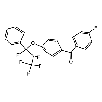 O=C(c1ccc(F)cc1)c1ccc(OC(F)(c2ccccc2)C(F)C(F)(F)F)cc1